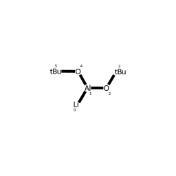 [Li][Al]([O]C(C)(C)C)[O]C(C)(C)C